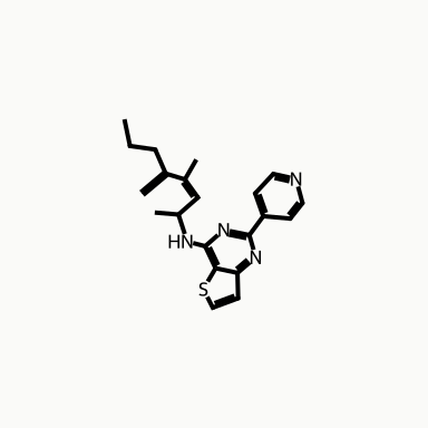 C=C(CCC)/C(C)=C\C(C)Nc1nc(-c2ccncc2)nc2ccsc12